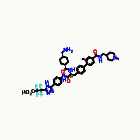 Cc1cc(C(=O)NCC2CCN(C)CC2)ccc1-c1ccc(C[C@H](NC(=O)[C@H]2CC[C@H](CN)CC2)C(=O)Nc2ccc(-c3nnc(C(F)(F)C(F)(F)C(=O)O)[nH]3)cc2)cc1